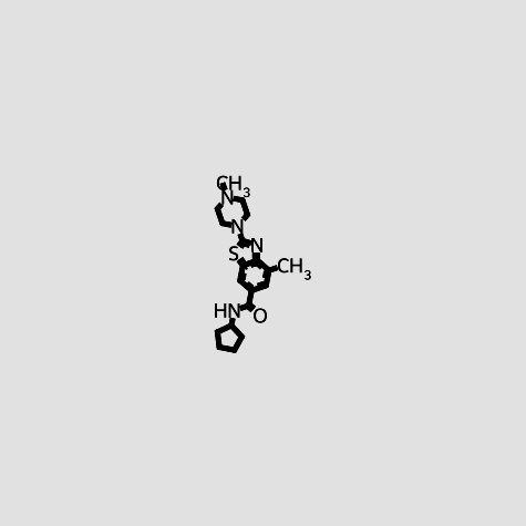 Cc1cc(C(=O)NC2CCCC2)cc2sc(N3CCN(C)CC3)nc12